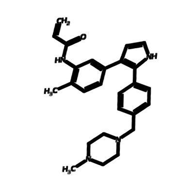 C=CC(=O)Nc1cc(-c2cc[nH]c2-c2ccc(CN3CCN(C)CC3)cc2)ccc1C